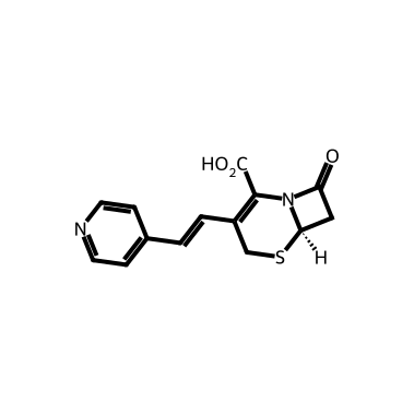 O=C(O)C1=C(/C=C/c2ccncc2)CS[C@@H]2CC(=O)N12